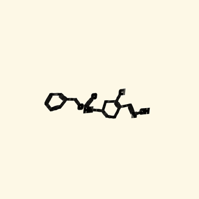 O=C(NC1CCC(/C=N/O)=C(Cl)C1)OCc1ccccc1